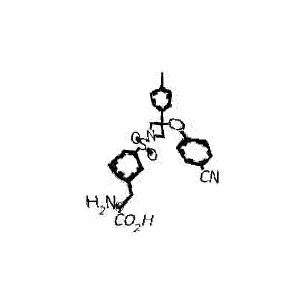 Cc1ccc(C2(Oc3ccc(C#N)cc3)CN(S(=O)(=O)c3cccc(C[C@H](N)C(=O)O)c3)C2)cc1